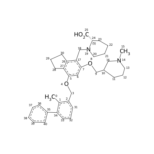 Cc1c(COc2cc(OCC3CCCN(C)C3)c(CN3CCCC[C@H]3C(=O)O)c3c2CCC3)cccc1-c1ccccc1